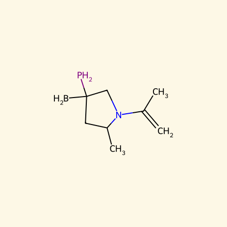 BC1(P)CC(C)N(C(=C)C)C1